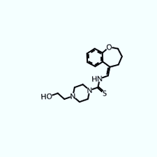 OCCN1CCN(C(=S)N/C=C2/CCCOc3ccccc32)CC1